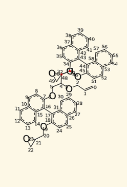 C=CCOC(COc1ccc2ccccc2c1-c1c(OCC2CO2)ccc2ccccc12)COc1ccc2ccccc2c1-c1c(OCC2CO2)ccc2ccccc12